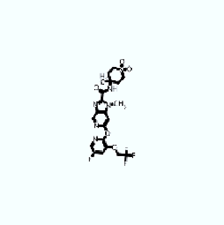 Cn1c(C(=O)NC2(C)CCS(=O)(=O)CC2)nc2cnc(Oc3ncc(F)cc3OCC(F)(F)F)cc21